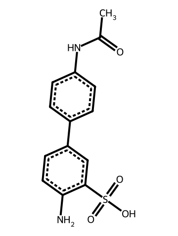 CC(=O)Nc1ccc(-c2ccc(N)c(S(=O)(=O)O)c2)cc1